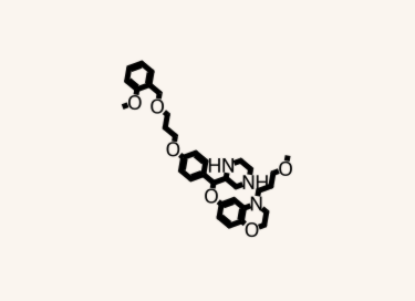 COCCCN1CCOc2ccc(OC(c3ccc(OCCCOCc4ccccc4OC)cc3)C3CNCCN3)cc21